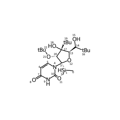 C[SiH](C)[C@@]1(n2ccc(=O)[nH]c2=O)O[C@H](C(O)C(C)(C)C)[C@](O)(C(C)(C)C)[C@H]1OC(C)(C)C